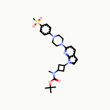 CN(C(=O)OC(C)(C)C)C1CC(n2ccc3ccc(N4CCN(c5ccc(S(C)(=O)=O)cc5)CC4)nc32)C1